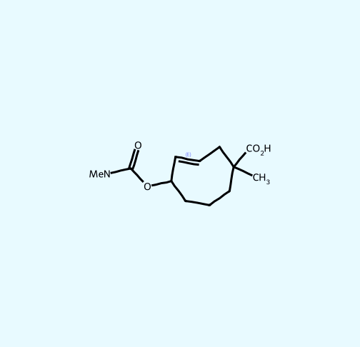 CNC(=O)OC1/C=C/CC(C)(C(=O)O)CCC1